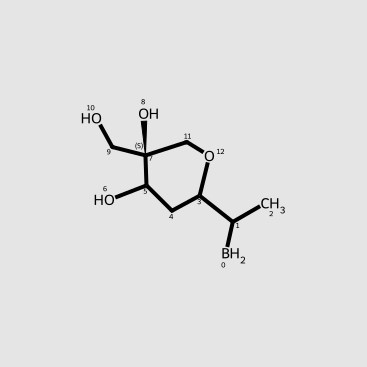 BC(C)C1CC(O)[C@](O)(CO)CO1